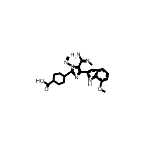 C=Nn1c(C2CCC(C(=O)O)CC2)nc(-c2cc3cccc(OC)c3[nH]2)c1/C(N)=N\C